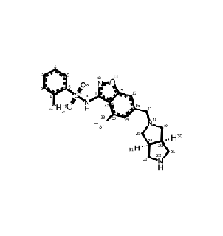 Cc1ccccc1S(=O)(=O)Nc1noc2cc(CN3C[C@H]4CNC[C@H]4C3)cc(C)c12